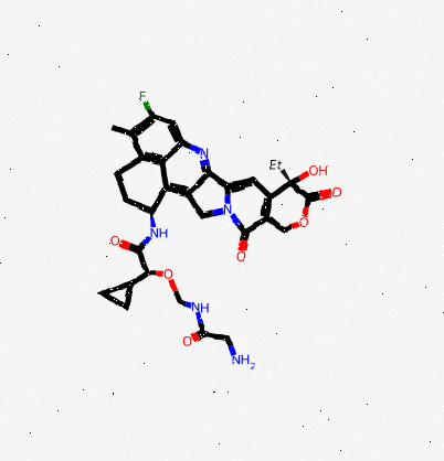 CC[C@@]1(O)C(=O)OCc2c1cc1n(c2=O)Cc2c-1nc1cc(F)c(C)c3c1c2[C@@H](NC(=O)C(OCNC(=O)CN)C1CC1)CC3